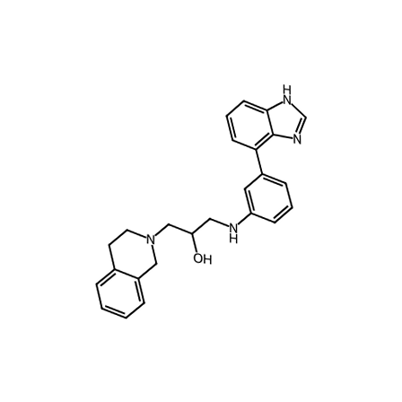 OC(CNc1cccc(-c2cccc3[nH]cnc23)c1)CN1CCc2ccccc2C1